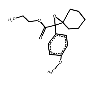 CCCOC(=O)C1(c2ccc(OC)cc2)OC12CCCCC2